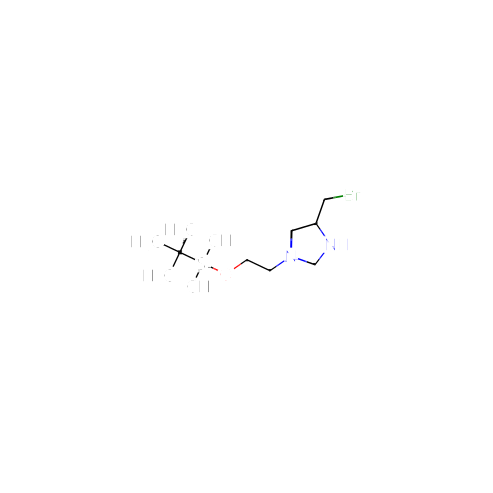 CC(C)(C)[Si](C)(C)OCCN1CNC(CBr)C1